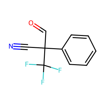 N#CC(C=O)(c1ccccc1)C(F)(F)F